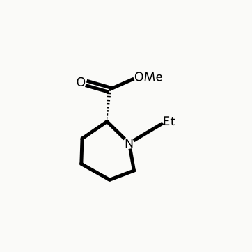 CCN1CCCC[C@@H]1C(=O)OC